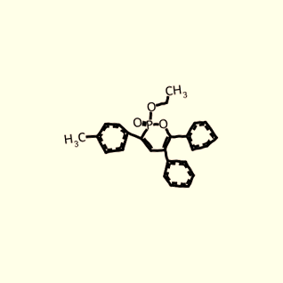 CCOP1(=O)OC(c2ccccc2)=C(c2ccccc2)C=C1c1ccc(C)cc1